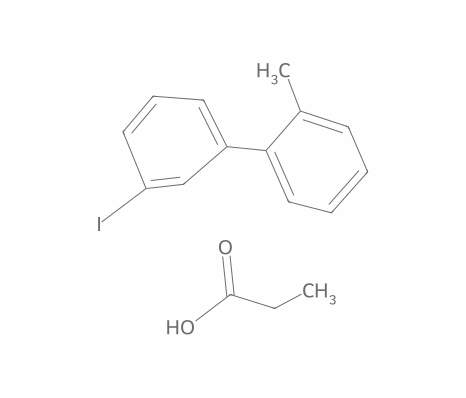 CCC(=O)O.Cc1ccccc1-c1cccc(I)c1